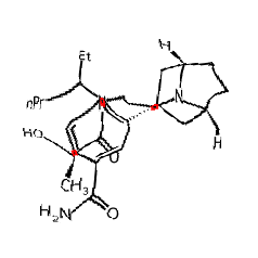 CCCC(CC)N(CCN1[C@@H]2CC[C@H]1C[C@@H](c1cccc(C(N)=O)c1)C2)C(=O)[C@@H](C)O